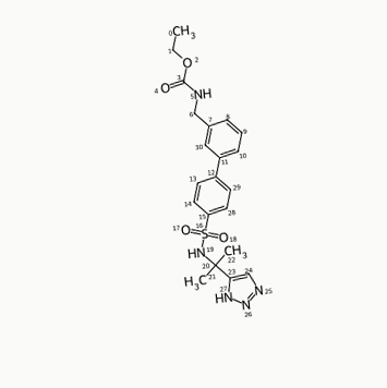 CCOC(=O)NCc1cccc(-c2ccc(S(=O)(=O)NC(C)(C)c3cnn[nH]3)cc2)c1